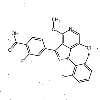 COc1ncc(Cl)c2c1c(-c1ccc(C(=O)O)c(F)c1)nn2-c1c(F)cccc1F